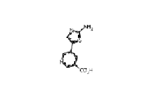 Nc1ncc(-c2cncc(C(=O)O)c2)s1